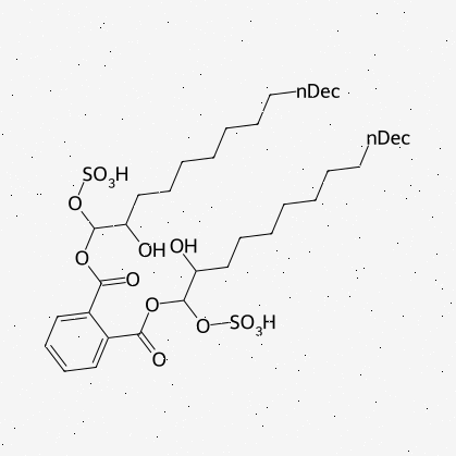 CCCCCCCCCCCCCCCCCC(O)C(OC(=O)c1ccccc1C(=O)OC(OS(=O)(=O)O)C(O)CCCCCCCCCCCCCCCCC)OS(=O)(=O)O